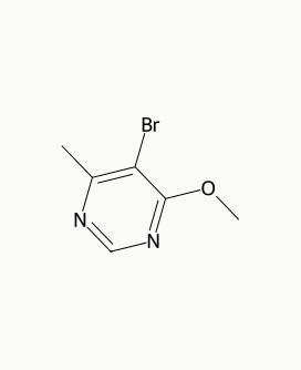 COc1ncnc(C)c1Br